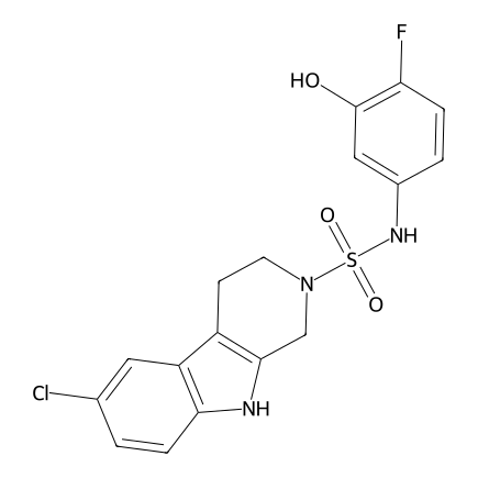 O=S(=O)(Nc1ccc(F)c(O)c1)N1CCc2c([nH]c3ccc(Cl)cc23)C1